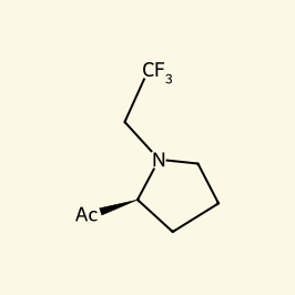 CC(=O)[C@@H]1CCCN1CC(F)(F)F